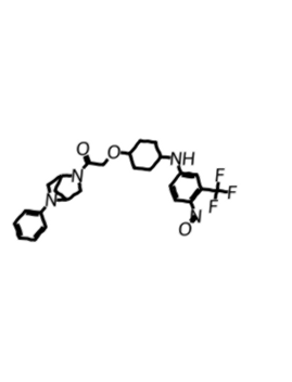 O=Nc1ccc(NC2CCC(OCC(=O)N3CC4CC3CN4c3ccccc3)CC2)cc1C(F)(F)F